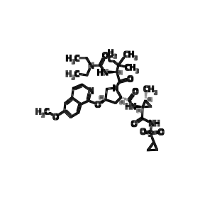 CCN(CC)C(=O)N[C@H](C(=O)N1C[C@H](Oc2nccc3cc(OC)ccc23)C[C@H]1C(=O)N[C@]1(C(=O)NS(=O)(=O)C2CC2)C[C@H]1C)C(C)(C)C